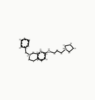 c1ccc(CN2CCc3ccc(OCCCN4CCCC4)nc3C2)cc1